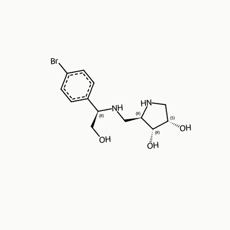 OC[C@H](NC[C@H]1NC[C@H](O)[C@@H]1O)c1ccc(Br)cc1